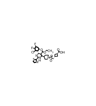 CCOC(=O)C1=C(C2CCN(S(=O)(=O)C[C@H]3C[C@H](C(=O)O)C3)CC2)NC(c2nccs2)=N[C@@H]1c1ccc(F)c(F)c1Cl